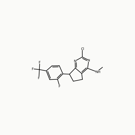 CNc1nc(Cl)nc2c1CCC2c1ccc(C(F)(F)F)cc1F